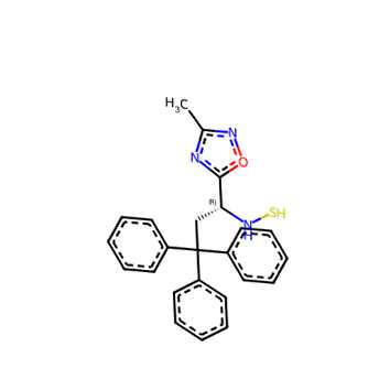 Cc1noc([C@@H](CC(c2ccccc2)(c2ccccc2)c2ccccc2)NS)n1